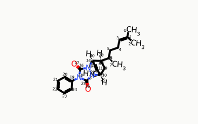 CC(C)=CCC[C@@H](C)[C@H]1C[C@@H]2C(C)=C[C@H]1n1c(=O)n(-c3ccccc3)c(=O)n12